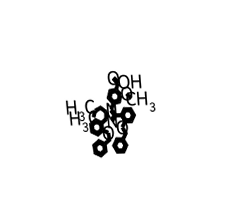 COc1cc(-n2c(-c3ccccc3OCc3ccccc3)nc(-c3ccccc3OCc3ccccc3)c2CC(C)C)ccc1C(=O)O